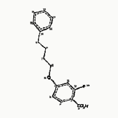 O=C(O)c1ccc(OCCCCc2ccccc2)cc1F